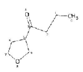 CCCC(=O)C1CCOC1